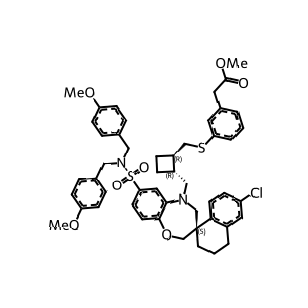 COC(=O)Cc1cccc(SC[C@@H]2CC[C@H]2CN2C[C@@]3(CCCc4cc(Cl)ccc43)COc3ccc(S(=O)(=O)N(Cc4ccc(OC)cc4)Cc4ccc(OC)cc4)cc32)c1